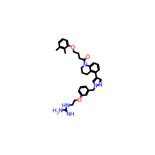 Cc1cccc(OCCCC(=O)N2CCCc3c(-c4cnn(Cc5cccc(OCCNC(=N)N)c5)c4)cccc32)c1C